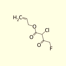 C=CCOC(=O)C(Cl)C(=O)CF